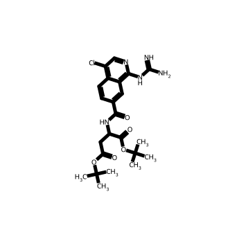 CC(C)(C)OC(=O)CC(NC(=O)c1ccc2c(Cl)cnc(NC(=N)N)c2c1)C(=O)OC(C)(C)C